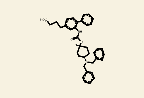 CCOC(=O)CCCc1ccc(-c2ccccc2)c(NC(=O)O[C@]2(C)CC[C@@H](N(Cc3ccccc3)Cc3ccccc3)CC2)c1